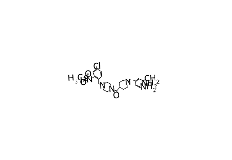 C=C(N)/C=C(\C=C/N)CN1CCC(C(=O)N2CCN(Cc3ccc(Cl)cc3NS(C)(=O)=O)CC2)CC1